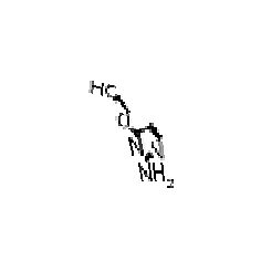 C#CCOc1ccnc(N)n1